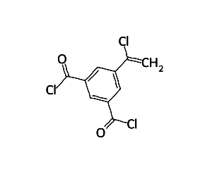 C=C(Cl)c1cc(C(=O)Cl)cc(C(=O)Cl)c1